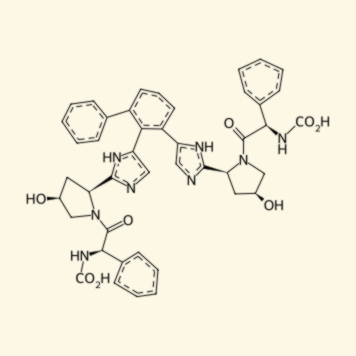 O=C(O)N[C@@H](C(=O)N1C[C@@H](O)C[C@H]1c1ncc(-c2cccc(-c3ccccc3)c2-c2cnc([C@@H]3C[C@H](O)CN3C(=O)[C@H](NC(=O)O)c3ccccc3)[nH]2)[nH]1)c1ccccc1